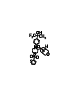 C[C@@](O)(c1ccc(N2CCN(S(=O)(=O)c3cccs3)C[C@@H]2CN2C3COC[C@@H]2CC(O)C3)cc1)C(F)(F)F